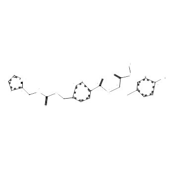 O=C(NCc1ccc(C(=O)N[C@@H](Cc2ccc(O)cc2)C(=O)NO)cc1)OCc1cccs1